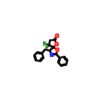 O=C1CC(F)(F)C2(O1)OC(c1ccccc1)=NC2Cc1ccccc1